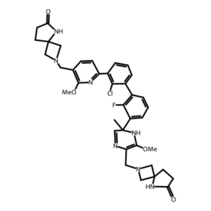 COC1=C(CN2CC3(CCC(=O)N3)C2)N=CC(C)(c2cccc(-c3cccc(-c4ccc(CN5CC6(CCC(=O)N6)C5)c(OC)n4)c3Cl)c2F)N1